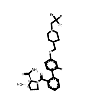 CCC(F)(CC)CN1CCC(COc2ccc(-c3ccccc3C(=O)N3CC[C@H](O)[C@H]3C(N)=O)c(F)c2)CC1